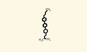 CCCCCc1ccc(-c2ccc(C3CCC(CCC(C)C)CC3)cc2)cc1